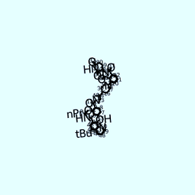 CCCC(=O)NC(c1cccc(C(=O)N2CC(C3CCN(c4cccc5c4C(=O)N(C4CCC(=O)NC4=O)C5=O)CC3)C2)c1)c1cc(C(C)(C)C)c2cccnc2c1O